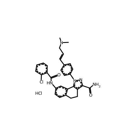 CN(C)CC=Cc1ccc(-n2nc(C(N)=O)c3c2-c2cc(NC(=O)c4ccccc4Cl)ccc2CC3)cc1.Cl